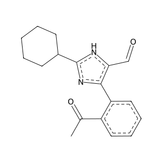 CC(=O)c1ccccc1-c1nc(C2CCCCC2)[nH]c1C=O